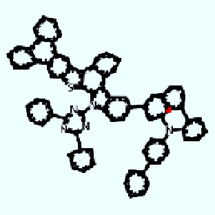 c1ccc(-c2ccc(N(c3cccc(-c4ccc5c(c4)c4c6ccccc6c6c7cc8c9ccccc9c9ccccc9c8cc7sc6c4n5-c4nc(-c5ccccc5)nc(-c5ccccc5)n4)c3)c3ccccc3-c3ccccc3)cc2)cc1